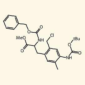 COC(=O)C(Cc1cc(C)c(NC(=O)OC(C)(C)C)cc1CCl)NC(=O)OCc1ccccc1